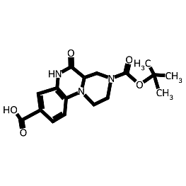 CC(C)(C)OC(=O)N1CCN2c3ccc(C(=O)O)cc3NC(=O)C2C1